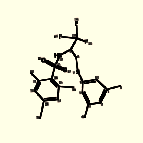 Cc1cc(C)cc(SCC(NS(=O)(=O)c2c(C)cc(C)cc2C)C(F)(F)F)c1